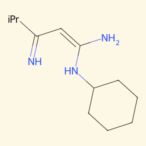 CC(C)C(=N)/C=C(/N)NC1CCCCC1